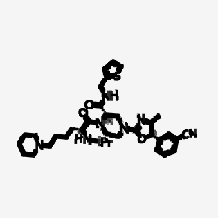 CC(C)N[C@H](CCCCN1CCCCC1)C(=O)N1CCN(C2=NC(C)[C@H](c3cccc(C#N)c3)O2)C[C@H]1C(=O)NCc1cccs1